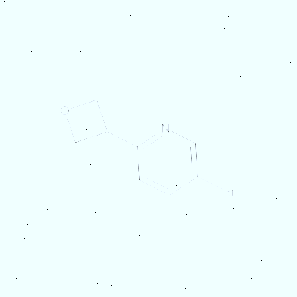 Brc1ccc(C2COC2)nc1